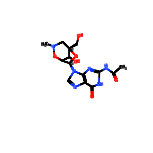 CC(=O)Nc1nc2c(ncn2[C@@H]2O[C@@]3(CO)CN(C)OC2C3O)c(=O)[nH]1